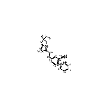 CCC(C)(C)Cc1c[nH]c(CCc2ccc(-c3ccccn3)c(C#N)c2)n1